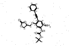 CC(C)(C)OC(=O)Nc1cc(OCC2COC(=O)O2)c(C#Cc2ccccc2)cc1N